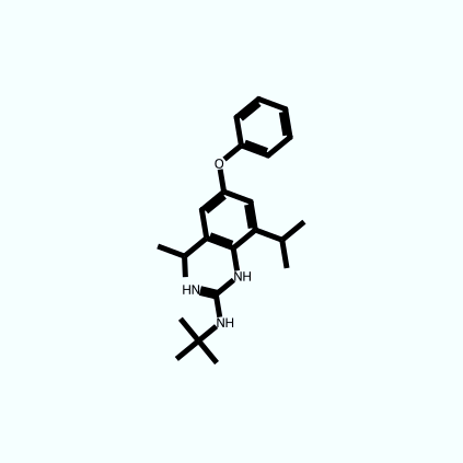 CC(C)c1cc(Oc2ccccc2)cc(C(C)C)c1NC(=N)NC(C)(C)C